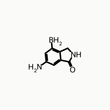 Bc1cc(N)cc2c1CNC2=O